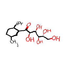 CC1CCC(C(C)C)C(C(=O)[C@H](O)[C@@H](O)[C@H](O)[C@H](O)CO)C1